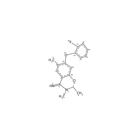 CCN(C)C(=N)c1cc(C)c(Oc2ccccc2F)cc1Cl